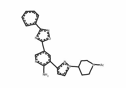 CC(=O)N1CCC(n2ccc(-c3cc(-c4nc(-c5ccccc5)no4)cnc3N)n2)CC1